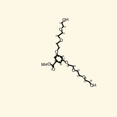 COC(=O)c1cc(OCCOCCOCCO)cc(OCCOCCOCCO)c1